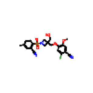 COc1cc(C#N)c(F)cc1OCC1(CO)CN(S(=O)(=O)c2ccc(C)cc2C#N)C1